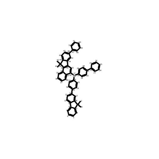 CC1(C)c2ccccc2-c2ccc(-c3ccc(N(c4ccc(-c5ccccc5)cc4)c4cc5c(c6ccccc46)C(C)(C)c4ccc(-c6ccccc6)cc4-5)cc3)cc21